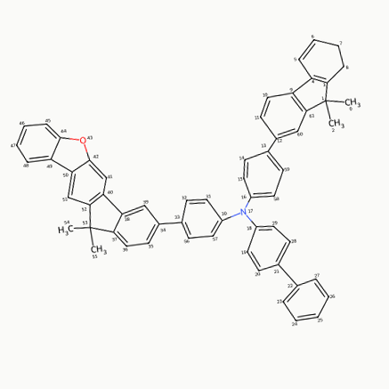 CC1(C)C2=C(C=CCC2)c2ccc(-c3ccc(N(c4ccc(-c5ccccc5)cc4)c4ccc(-c5ccc6c(c5)-c5cc7oc8ccccc8c7cc5C6(C)C)cc4)cc3)cc21